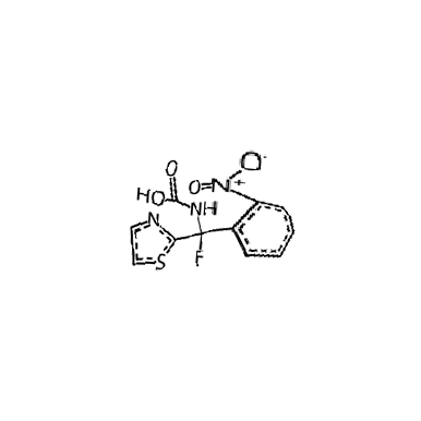 O=C(O)NC(F)(c1nccs1)c1ccccc1[N+](=O)[O-]